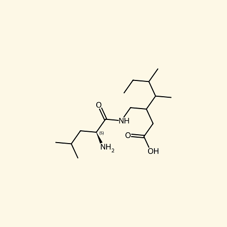 CCC(C)C(C)C(CNC(=O)[C@@H](N)CC(C)C)CC(=O)O